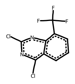 FC(F)(F)c1cccc2c(Cl)nc(Cl)nc12